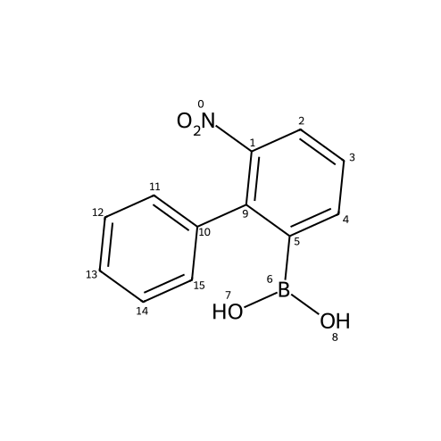 O=[N+]([O-])c1cccc(B(O)O)c1-c1ccccc1